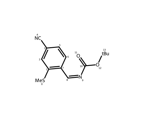 CSc1cc(C#N)ccc1/C=N\C(=O)OC(C)(C)C